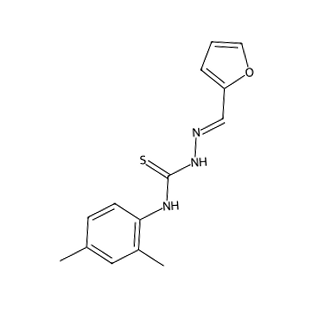 Cc1ccc(NC(=S)N/N=C/c2ccco2)c(C)c1